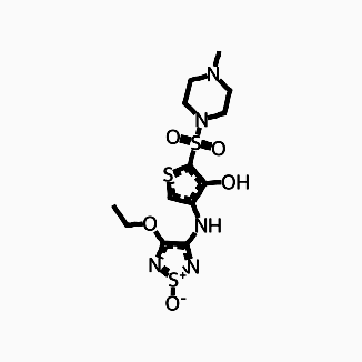 CCOc1n[s+]([O-])nc1Nc1csc(S(=O)(=O)N2CCN(C)CC2)c1O